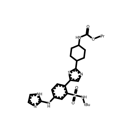 CC(C)OC(=O)NC1CCC(c2ncc(-c3ccc(Nc4ncc[nH]4)cc3S(=O)(=O)NC(C)(C)C)s2)CC1